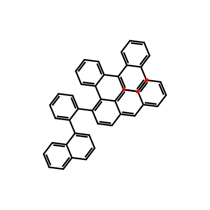 c1ccc(-c2cccc3ccccc23)c(-c2ccc3cc4ccccc4cc3c2-c2ccccc2-c2cccc3ccccc23)c1